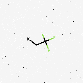 FC(F)(F)[CH2][K]